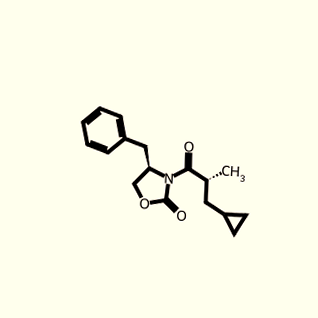 C[C@H](CC1CC1)C(=O)N1C(=O)OC[C@H]1Cc1ccccc1